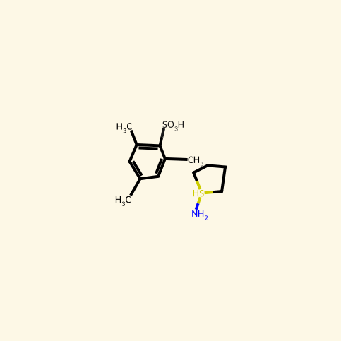 Cc1cc(C)c(S(=O)(=O)O)c(C)c1.N[SH]1CCCC1